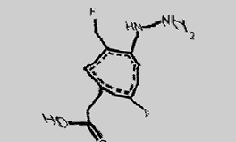 NNc1cc(F)c(C(=O)O)cc1F